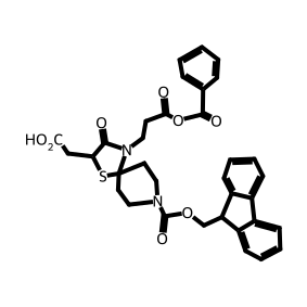 O=C(O)CC1SC2(CCN(C(=O)OCC3c4ccccc4-c4ccccc43)CC2)N(CCC(=O)OC(=O)c2ccccc2)C1=O